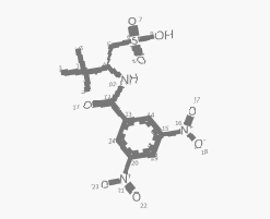 CC(C)(C)[C@@H](CS(=O)(=O)O)NC(=O)c1cc([N+](=O)[O-])cc([N+](=O)[O-])c1